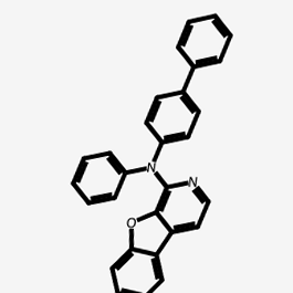 c1ccc(-c2ccc(N(c3ccccc3)c3nccc4c3oc3ccccc34)cc2)cc1